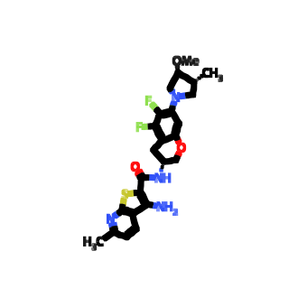 CO[C@@H]1CN(c2cc3c(c(F)c2F)C[C@@H](NC(=O)c2sc4nc(C)ccc4c2N)CO3)C[C@H]1C